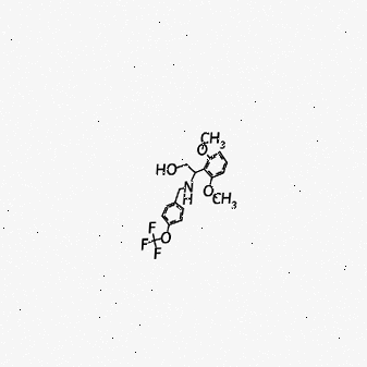 COc1cccc(OC)c1C(CO)NCc1ccc(OC(F)(F)F)cc1